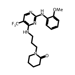 COc1ccccc1Nc1ncc(C(F)(F)F)c(NCCCN2CCCCC2=O)n1